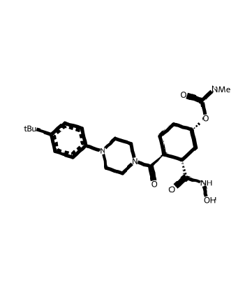 CNC(=O)O[C@H]1CC[C@H](C(=O)N2CCN(c3ccc(C(C)(C)C)cc3)CC2)[C@@H](C(=O)NO)C1